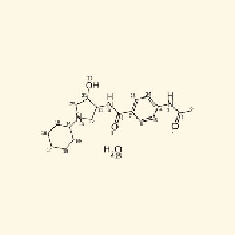 CC(=O)Nc1ccc(C(=O)NC2CN(C3CCCCC3)CC2O)cc1.O